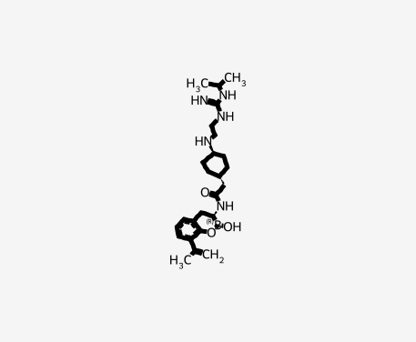 C=C(C)c1cccc2c1OB(O)[C@@H](NC(=O)C[C@H]1CC[C@H](NCCNC(=N)NC(C)C)CC1)C2